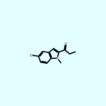 CCC(=O)c1cc2cc(Cl)ccc2n1C